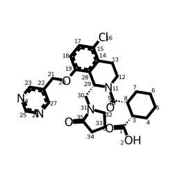 O=C(O)[C@H]1CCCC[C@H]1C(=O)N1CCc2c(Cl)ccc(OCc3cncnc3)c2[C@H]1CN1CCCC1=O